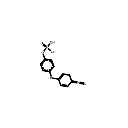 [N-]=[N+]=C1C=CC(Nc2ccc(OP(=O)(O)O)cc2)=CC1